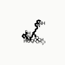 CC(C)(C)OCCN(CCCCc1ccc2c(n1)NCCC2)CCC(NC(=O)N1CCCC1CF)C(=O)O